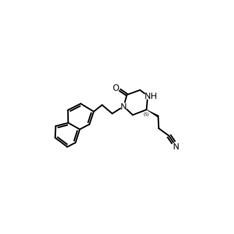 N#CCC[C@H]1CN(CCc2ccc3ccccc3c2)C(=O)CN1